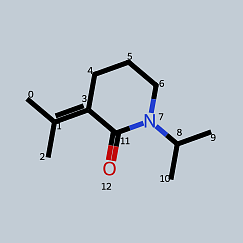 CC(C)=C1CCCN(C(C)C)C1=O